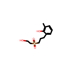 Cc1cccc(CCCS(=O)(=O)CCO)c1O